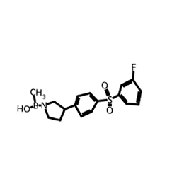 CB(O)N1CCC(c2ccc(S(=O)(=O)c3cccc(F)c3)cc2)C1